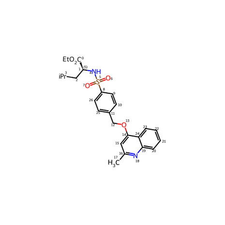 CCOC(=O)[C@H](CC(C)C)NS(=O)(=O)c1ccc(COc2cc(C)nc3ccccc23)cc1